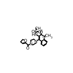 Cn1c(=O)c(NS(C)(=O)=O)c(N2CCN(C(=O)C3=CCCO3)CC2)c2ccccc21